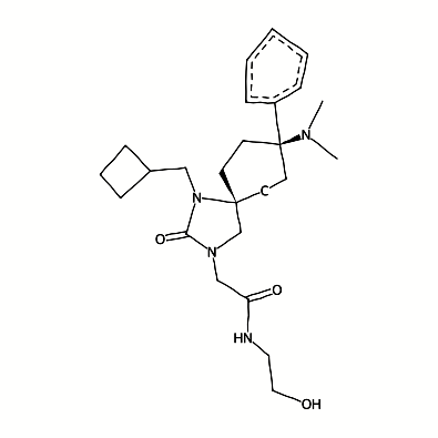 CN(C)[C@]1(c2ccccc2)CC[C@@]2(CC1)CN(CC(=O)NCCO)C(=O)N2CC1CCC1